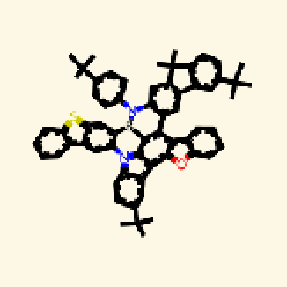 CC(C)(C)c1ccc(N2B3c4cc5sc6ccccc6c5cc4-n4c5ccc(C(C)(C)C)cc5c5c6oc7ccccc7c6c(c3c54)-c3cc4c(cc32)C(C)(C)c2ccc(C(C)(C)C)cc2-4)cc1